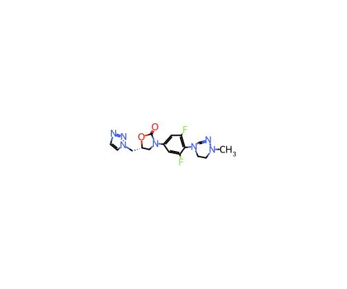 CN1CCN(c2c(F)cc(N3C[C@H](Cn4ccnn4)OC3=O)cc2F)C=N1